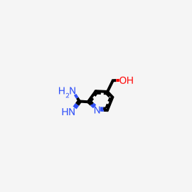 N=C(N)c1cc(CO)ccn1